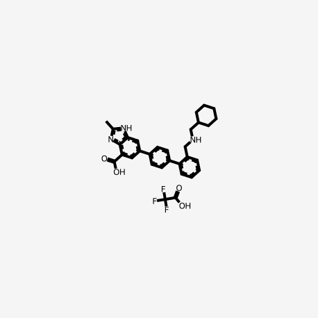 Cc1nc2c(C(=O)O)cc(-c3ccc(-c4ccccc4CNCC4CCCCC4)cc3)cc2[nH]1.O=C(O)C(F)(F)F